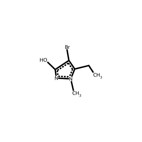 CCc1c(Br)c(O)nn1C